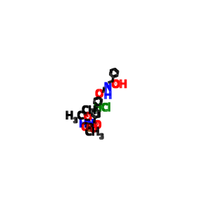 CC(C)Oc1cc(-c2ccc(OCCNC[C@@H](O)c3ccccc3)cc2)ccc1C(=O)NS(C)(=O)=O.Cl